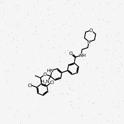 CC(OC1(N)C=CC(c2cccc(C(=O)NCCN3CCOCC3)c2)=CN1)c1c(Cl)cccc1Cl